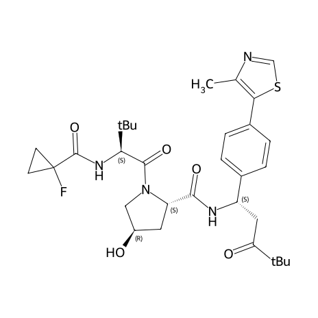 Cc1ncsc1-c1ccc([C@H](CC(=O)C(C)(C)C)NC(=O)[C@@H]2C[C@@H](O)CN2C(=O)[C@@H](NC(=O)C2(F)CC2)C(C)(C)C)cc1